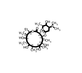 CC[C@H]1OC(=O)[C@H](C)[C@@H](O[C@H]2CC(N(C)C)C(O)[C@@H](C)O2)[C@H](C)[C@@H](O)[C@](C)(O)C[C@@H](C)C(O)[C@H](C)[C@@H](O)[C@H]1C